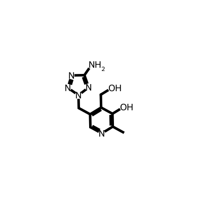 Cc1ncc(Cn2nnc(N)n2)c(CO)c1O